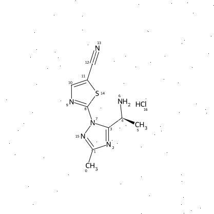 Cc1nc([C@H](C)N)n(-c2ncc(C#N)s2)n1.Cl